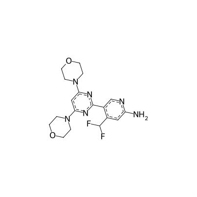 Nc1cc(C(F)F)c(-c2nc(N3CCOCC3)cc(N3CCOCC3)n2)cn1